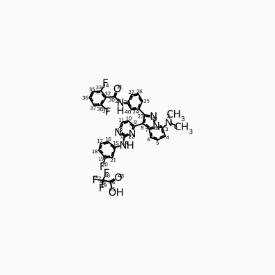 CN(C)c1cccc2c(-c3ccnc(Nc4cccc(F)c4)n3)c(-c3cccc(NC(=O)c4c(F)cccc4F)c3)nn12.O=C(O)C(F)(F)F